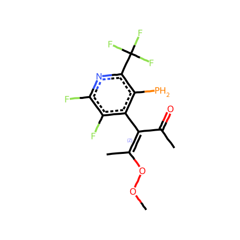 COO/C(C)=C(\C(C)=O)c1c(F)c(F)nc(C(F)(F)F)c1P